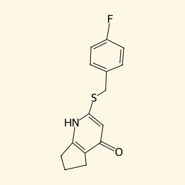 O=c1cc(SCc2ccc(F)cc2)[nH]c2c1CCC2